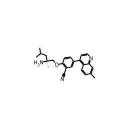 Cc1ccc2c(-c3ccc(OC[C@@](C)(N)CC(C)C)c(C#N)c3)ccnc2c1